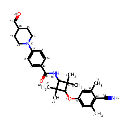 Cc1cc(OC2C(C)(C)C(NC(=O)c3ccc(N4CCC(C=O)CC4)cc3)C2(C)C)cc(C)c1C#N